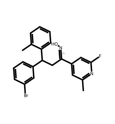 Cc1cc(/C(CC(c2cccc(Br)c2)c2ccccc2C)=N/O)cc(F)n1